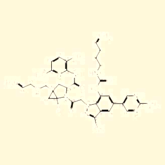 C=CCCCNC(=O)Oc1cc(-c2cnc(C)nc2)cc2c(C(C)=O)nn(CC(=O)N3[C@H](C(=O)Nc4nc(C(F)(F)F)ccc4C)C[C@@]4(COCC=C)C[C@@H]34)c12